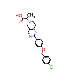 CC(C(=O)O)N1CCc2nc(-c3ccc(OCc4ccc(Cl)cc4)cc3)ncc2C1